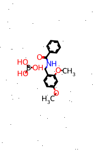 COc1ccc(CNC(=O)c2ccccc2)c(OC)c1.OB(O)O